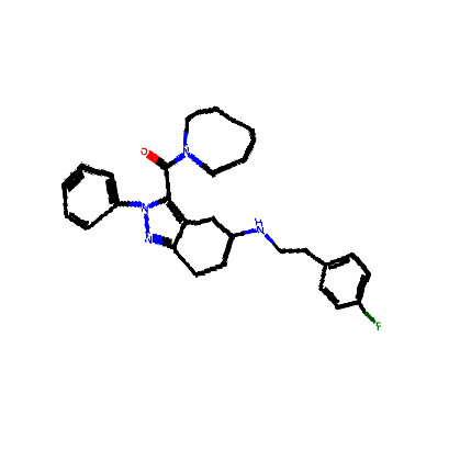 O=C(c1c2c(nn1-c1ccccc1)CCC(NCCc1ccc(F)cc1)C2)N1CCCCC1